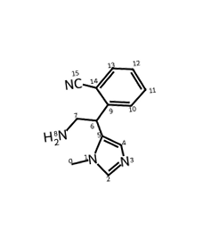 Cn1cncc1C(CN)c1ccccc1C#N